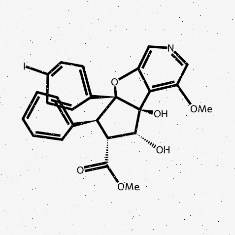 COC(=O)[C@H]1[C@@H](O)[C@@]2(O)c3c(OC)cncc3O[C@@]2(c2ccc(I)cc2)[C@@H]1c1ccccc1